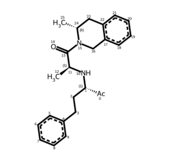 CC(=O)[C@H](CCc1ccccc1)N[C@@H](C)C(=O)N1Cc2ccccc2C[C@H]1C